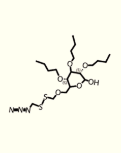 CCCCOC1[C@H](OCCCC)C(O)OC(COCSSCN=[N+]=[N-])[C@@H]1OCCCC